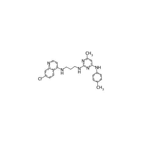 Cc1ccc(Nc2cc(C)nc(NCCCNc3ccnc4cc(Cl)ccc34)n2)cc1